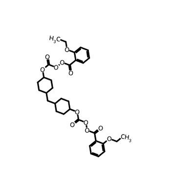 CCOc1ccccc1C(=O)OOC(=O)OC1CCC(CC2CCC(OC(=O)OOC(=O)c3ccccc3OCC)CC2)CC1